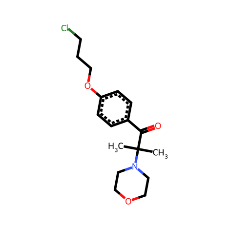 CC(C)(C(=O)c1ccc(OCCCCl)cc1)N1CCOCC1